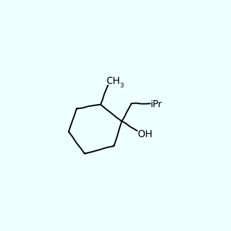 CC(C)CC1(O)CCCCC1C